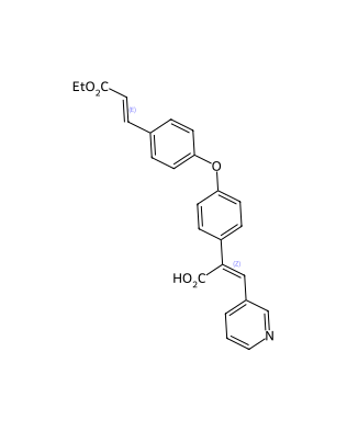 CCOC(=O)/C=C/c1ccc(Oc2ccc(/C(=C/c3cccnc3)C(=O)O)cc2)cc1